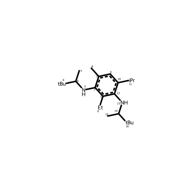 CCc1c(NC(C)C(C)(C)C)c(C)cc(C(C)C)c1NC(C)C(C)(C)C